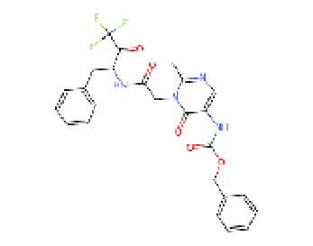 Cc1ncc(NC(=O)OCc2ccccc2)c(=O)n1CC(=O)NC(Cc1ccccc1)C(=O)C(F)(F)F